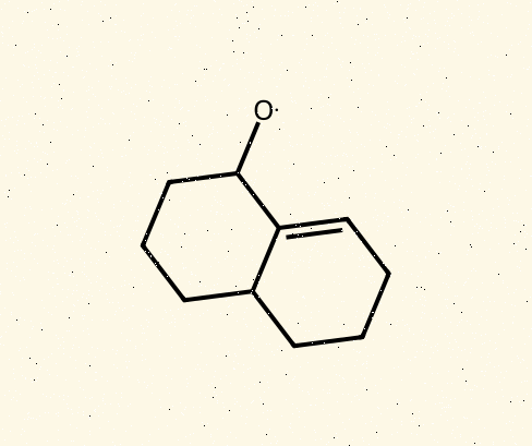 [O]C1CCCC2CCCC=C12